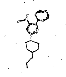 CCC[C@H]1CC[C@H](n2cc([N+](=O)[O-])c(-c3ccccn3)n2)CC1